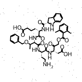 Cc1cccc(C)c1C(=O)OCC(=O)[C@H](CC(=O)O)NC(=O)[C@H](CCN)NC(=O)[C@@H](NC(=O)[C@H](CCCC(=O)O)NC(=O)[C@@H]1Cc2ccccc2N1)C(C)OCc1ccccc1